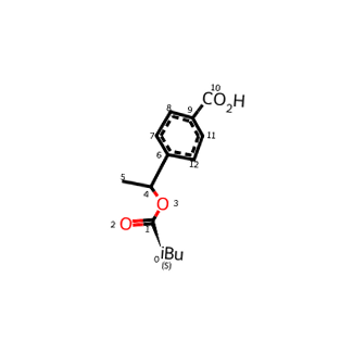 CC[C@H](C)C(=O)OC(C)c1ccc(C(=O)O)cc1